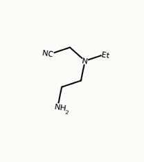 CCN(CC#N)CCN